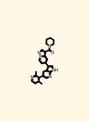 Cc1ccnc(C)c1-c1cnc2[nH]cc(-c3ccn4ncc(C(=O)N5CCCCC5)c4c3)c2c1